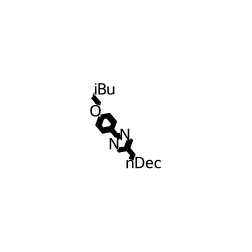 CCCCCCCCCCCc1cnc(-c2ccc(OCC[C@@H](C)CC)cc2)nc1